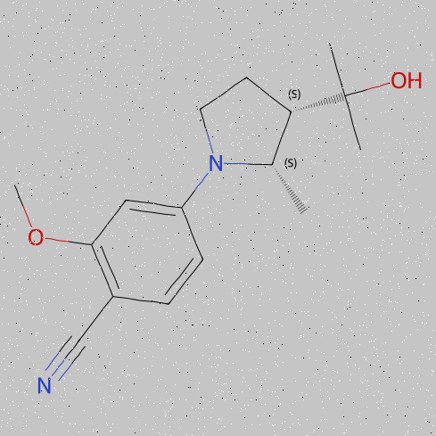 COc1cc(N2CC[C@H](C(C)(C)O)[C@@H]2C)ccc1C#N